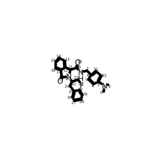 CN(C)c1ccc(CNC(=O)C2c3ccccc3C(=O)N2C(CF)Cc2ccccc2)cc1